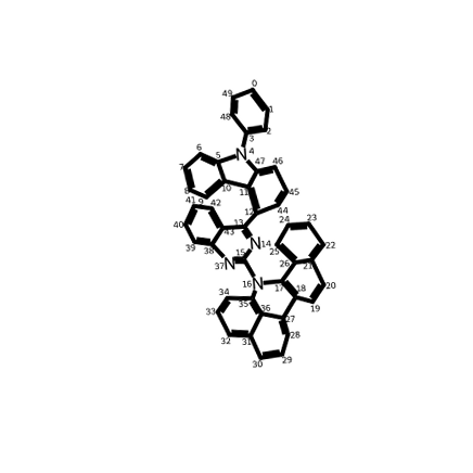 c1ccc(-n2c3ccccc3c3c(-c4nc(N5c6c(ccc7ccccc67)-c6cccc7cccc5c67)nc5ccccc45)cccc32)cc1